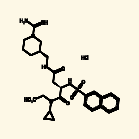 Cl.N=C(N)N1CCC[C@H](CNC(=O)C[C@H](NS(=O)(=O)c2ccc3ccccc3c2)C(=O)N(CC(=O)O)C2CC2)C1